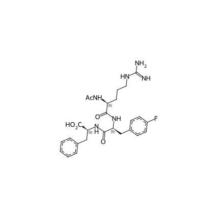 CC(=O)N[C@@H](CCCNC(=N)N)C(=O)N[C@@H](Cc1ccc(F)cc1)C(=O)N[C@@H](Cc1ccccc1)C(=O)O